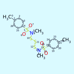 Cc1ccc(S(=O)(=O)N(C)SSSN(C)S(=O)(=O)c2ccc(C)cc2)cc1